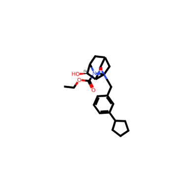 CCOC(=O)N1C2CC3CC1[C@H](O)C2N(Cc1cccc(C2CCCC2)c1)C3